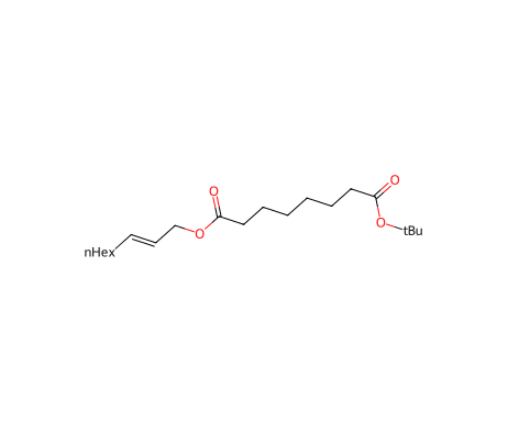 CCCCCCC=CCOC(=O)CCCCCCC(=O)OC(C)(C)C